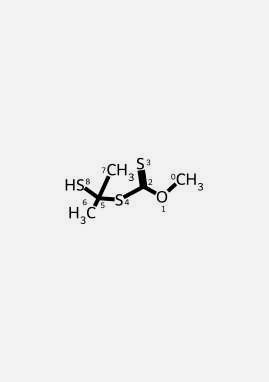 COC(=S)SC(C)(C)S